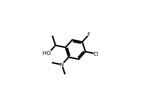 CC(O)c1cc(F)c(Cl)cc1N(C)C